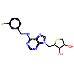 OC1CSC(Cn2cnc3c(NCc4cccc(Br)c4)ncnc32)C1O